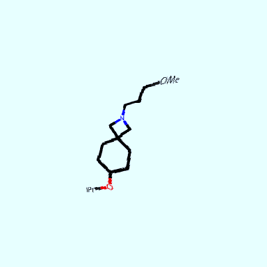 COCCCN1CC2(CCC(OC(C)C)CC2)C1